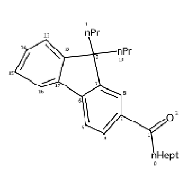 CCCCCCCC(=O)c1ccc2c(c1)C(CCC)(CCC)c1ccccc1-2